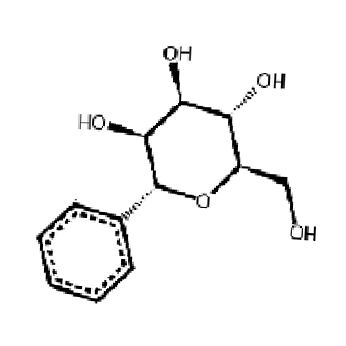 OC[C@H]1O[C@H](c2[c]cccc2)[C@@H](O)[C@@H](O)[C@@H]1O